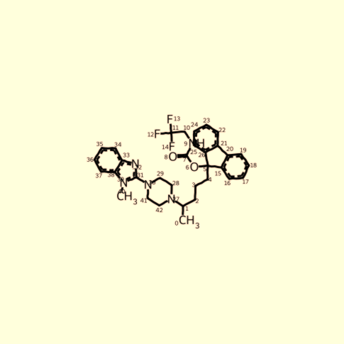 CC(CCCC1(OC(=O)NCC(F)(F)F)c2ccccc2-c2ccccc21)N1CCN(c2nc3ccccc3n2C)CC1